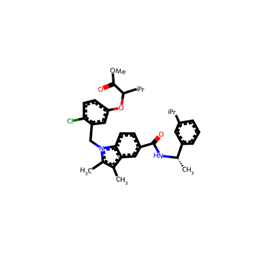 COC(=O)C(Oc1ccc(Cl)c(Cn2c(C)c(C)c3cc(C(=O)N[C@@H](C)c4cccc(C(C)C)c4)ccc32)c1)C(C)C